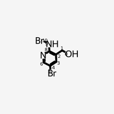 OCc1cc(Br)cnc1NBr